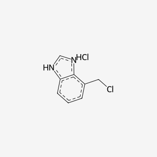 Cl.ClCc1cccc2[nH]cnc12